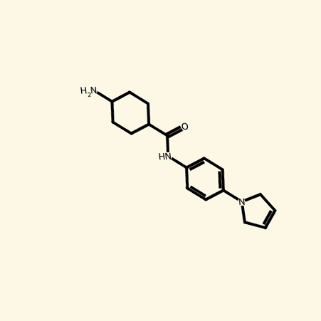 NC1CCC(C(=O)Nc2ccc(N3CC=CC3)cc2)CC1